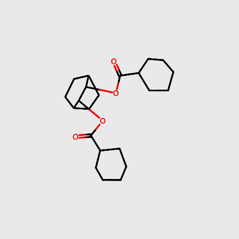 O=C(OC1C2CCC(CC2)C1OC(=O)C1CCCCC1)C1CCCCC1